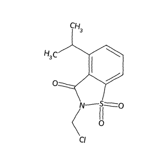 CC(C)c1cccc2c1C(=O)N(CCl)S2(=O)=O